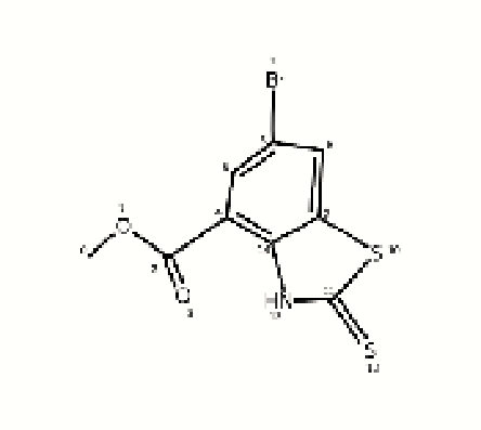 COC(=O)c1cc(Br)cc2sc(=S)[nH]c12